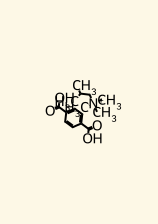 CC(C)C[N+](C)(C)C.O=C(O)c1ccc(C(=O)O)cc1